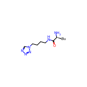 CCC(C)[C@H](N)C(=O)NCCCCn1cnnn1